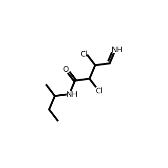 CCC(C)NC(=O)C(Cl)C(Cl)C=N